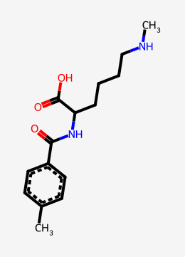 CNCCCCC(NC(=O)c1ccc(C)cc1)C(=O)O